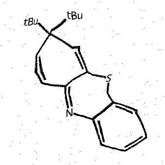 CC(C)(C)C1(C(C)(C)C)C=CC2=Nc3ccccc3SC2=C1